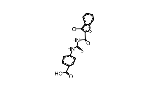 O=C(O)c1ccc(NC(=S)NC(=O)c2sc3ccccc3c2Cl)cc1